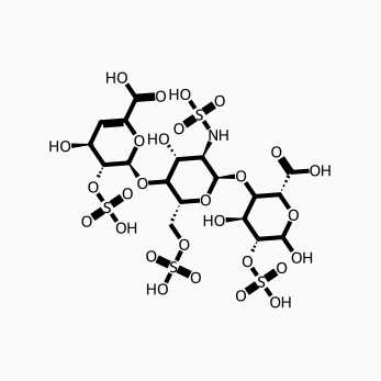 O=C(O)C1=C[C@H](O)[C@@H](OS(=O)(=O)O)[C@H](OC2[C@@H](COS(=O)(=O)O)O[C@H](OC3[C@H](C(=O)O)OC(O)[C@H](OS(=O)(=O)O)[C@H]3O)[C@H](NS(=O)(=O)O)[C@H]2O)O1